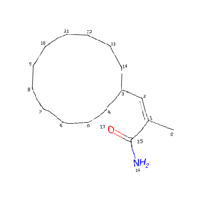 CC(=CC1CCCCCCCCCCC1)C(N)=O